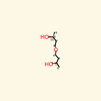 CC(O)CCOCC[C@H](C)O